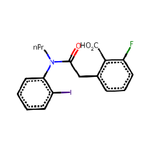 CCCN(C(=O)Cc1cccc(F)c1C(=O)O)c1ccccc1I